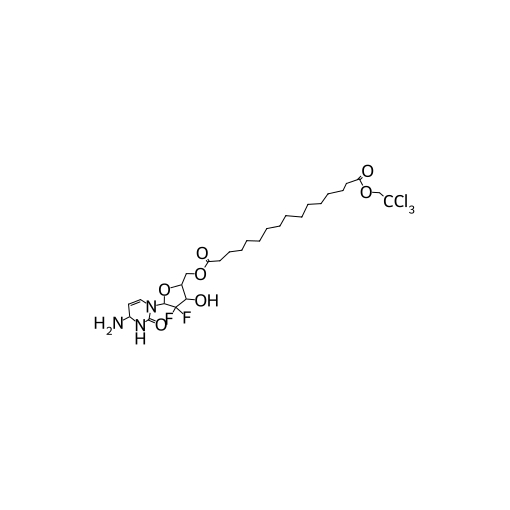 NC1C=CN(C2OC(COC(=O)CCCCCCCCCCCCCCC(=O)OCC(Cl)(Cl)Cl)C(O)C2(F)F)C(=O)N1